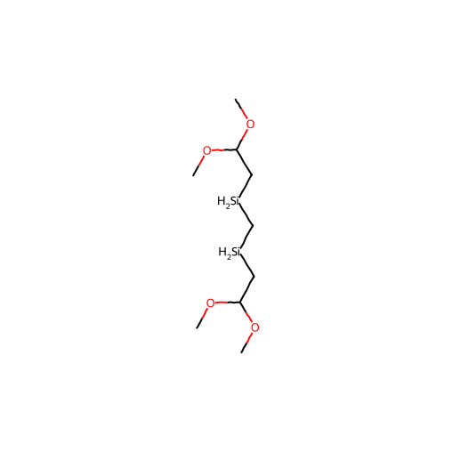 COC(C[SiH2]C[SiH2]CC(OC)OC)OC